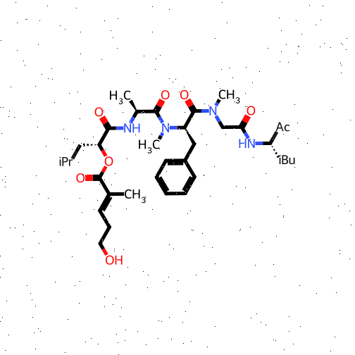 CCC(C)[C@H](NC(=O)CN(C)C(=O)[C@@H](Cc1ccccc1)N(C)C(=O)[C@H](C)NC(=O)[C@@H](CC(C)C)OC(=O)/C(C)=C/CCO)C(C)=O